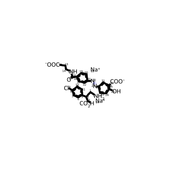 NCC(CC(=O)O)c1ccc(Cl)cc1.O=C([O-])CCNC(=O)c1ccc(/N=N/c2ccc(O)c(C(=O)[O-])c2)cc1.[Na+].[Na+]